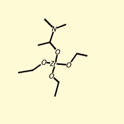 CC[O][Zr]([O]CC)([O]CC)[O]C(C)N(C)C